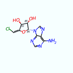 Nc1ncnc2c1ncn2[C@@H]1OC(=CCl)[C@@H](O)[C@H]1O